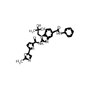 Cc1ncc(-c2ccc(C(=O)Nc3nc4cc(C(=O)Nc5ccccc5)ccc4n3CC(C)(C)O)s2)o1